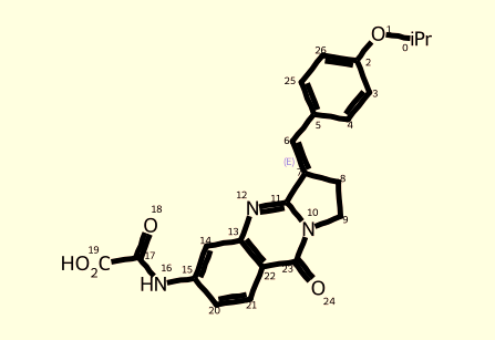 CC(C)Oc1ccc(/C=C2\CCn3c2nc2cc(NC(=O)C(=O)O)ccc2c3=O)cc1